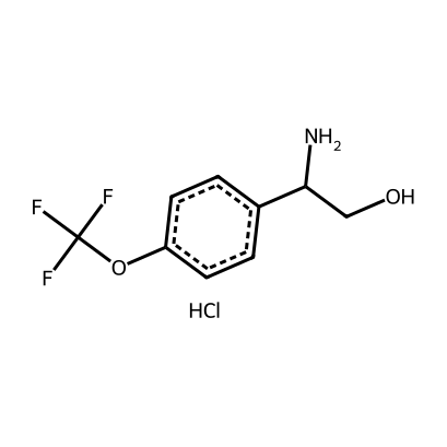 Cl.NC(CO)c1ccc(OC(F)(F)F)cc1